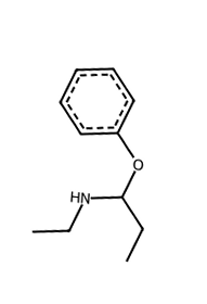 CCNC(CC)Oc1ccccc1